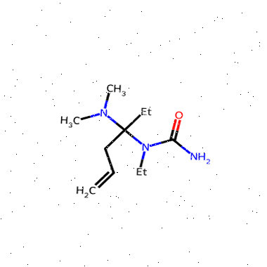 C=CCC(CC)(N(C)C)N(CC)C(N)=O